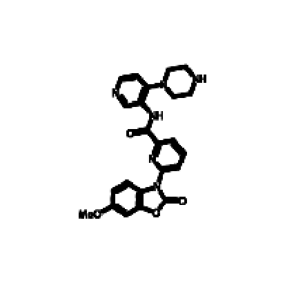 COc1ccc2c(c1)oc(=O)n2-c1cccc(C(=O)Nc2cnccc2N2CCNCC2)n1